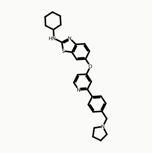 c1cc(Oc2ccc3nc(NC4CCCCC4)sc3c2)cc(-c2ccc(CN3CCCC3)cc2)n1